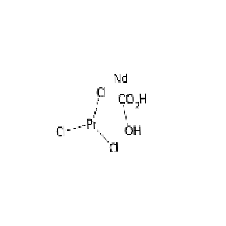 O=C(O)O.[Cl][Pr]([Cl])[Cl].[Nd]